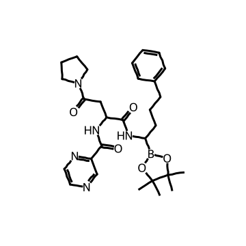 CC1(C)OB(C(CCCc2ccccc2)NC(=O)C(CC(=O)N2CCCC2)NC(=O)c2cnccn2)OC1(C)C